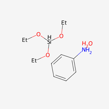 CCO[SiH](OCC)OCC.Nc1ccccc1.O